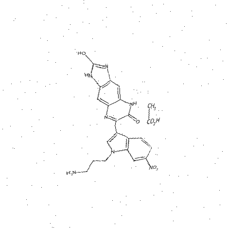 CC(=O)O.NCCCn1cc(-c2nc3cc4[nH]c(O)nc4cc3[nH]c2=O)c2ccc([N+](=O)[O-])cc21